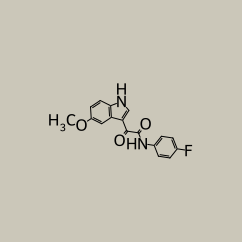 COc1ccc2[nH]cc(C(=O)C(=O)Nc3ccc(F)cc3)c2c1